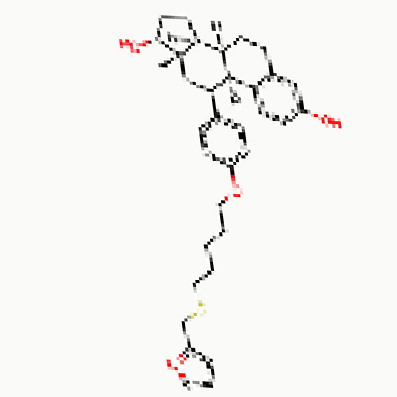 C[C@]12C[C@H](c3ccc(OCCCCCSCc4ccco4)cc3)[C@@H]3c4ccc(O)cc4CC[C@H]3[C@@H]1CC[C@@H]2O